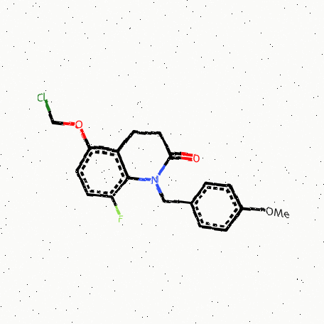 COc1ccc(CN2C(=O)CCc3c(OCCl)ccc(F)c32)cc1